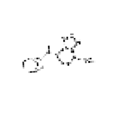 O=[N+]([O-])c1ccc(NC2CC3CCC2C3)c2nonc12